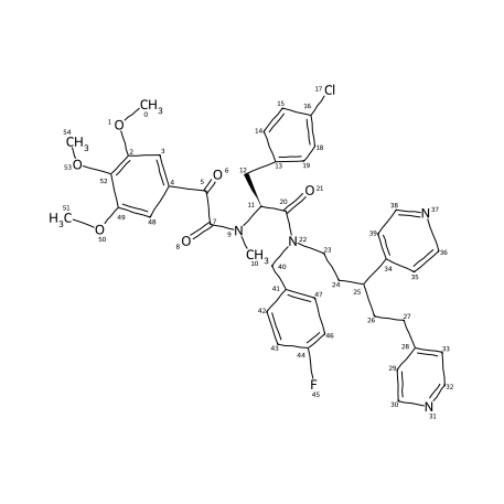 COc1cc(C(=O)C(=O)N(C)[C@@H](Cc2ccc(Cl)cc2)C(=O)N(CCC(CCc2ccncc2)c2ccncc2)Cc2ccc(F)cc2)cc(OC)c1OC